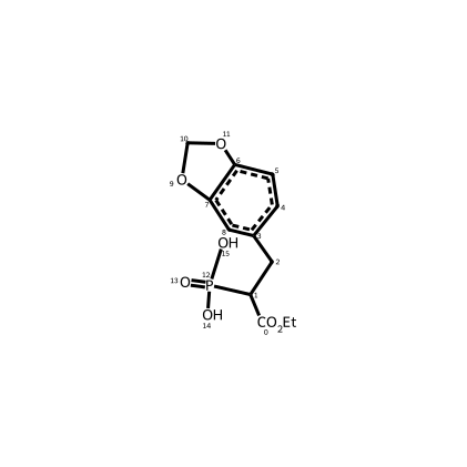 CCOC(=O)C(Cc1ccc2c(c1)OCO2)P(=O)(O)O